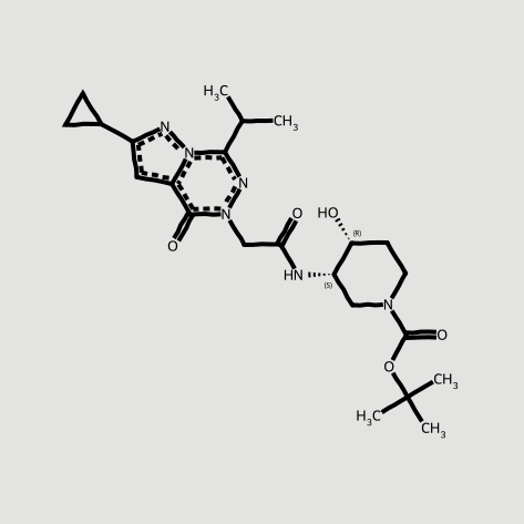 CC(C)c1nn(CC(=O)N[C@H]2CN(C(=O)OC(C)(C)C)CC[C@H]2O)c(=O)c2cc(C3CC3)nn12